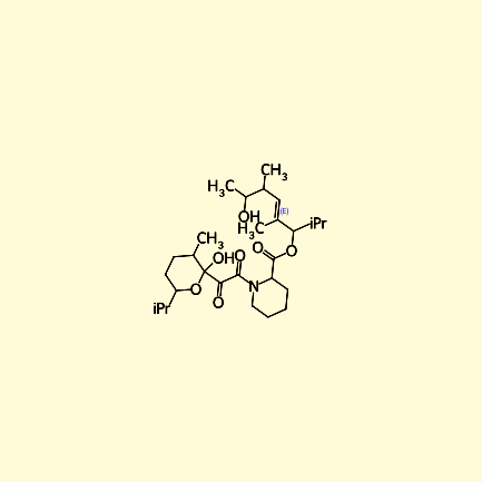 C/C(=C\C(C)C(C)O)C(OC(=O)C1CCCCN1C(=O)C(=O)C1(O)OC(C(C)C)CCC1C)C(C)C